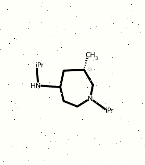 CC(C)NC1CCN(C(C)C)C[C@@H](C)C1